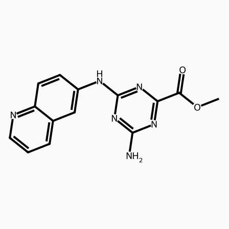 COC(=O)c1nc(N)nc(Nc2ccc3ncccc3c2)n1